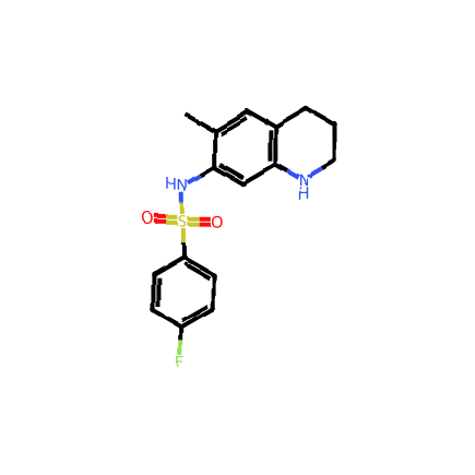 Cc1cc2c(cc1NS(=O)(=O)c1ccc(F)cc1)NCCC2